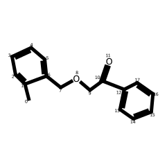 Cc1ccccc1COCC(=O)c1ccccc1